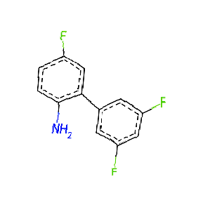 Nc1ccc(F)cc1-c1cc(F)cc(F)c1